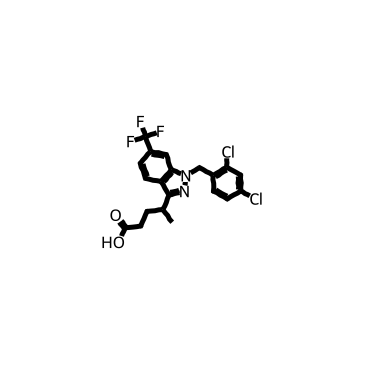 CC(CCC(=O)O)c1nn(Cc2ccc(Cl)cc2Cl)c2cc(C(F)(F)F)ccc12